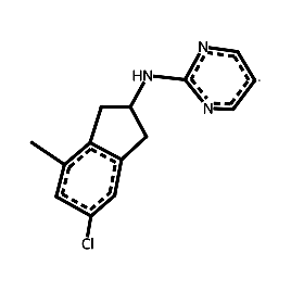 Cc1cc(Cl)cc2c1CC(Nc1nc[c]cn1)C2